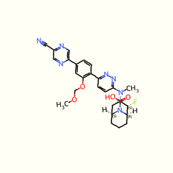 COCOc1cc(-c2cnc(C#N)cn2)ccc1-c1ccc(N(C)[C@H]2C[C@@H]3CCC[C@H]([C@H]2F)N3C(=O)O)nn1